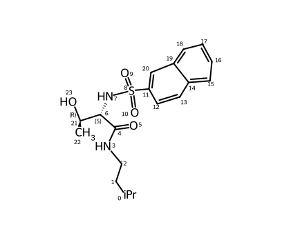 CC(C)C[CH]NC(=O)[C@@H](NS(=O)(=O)c1ccc2ccccc2c1)[C@@H](C)O